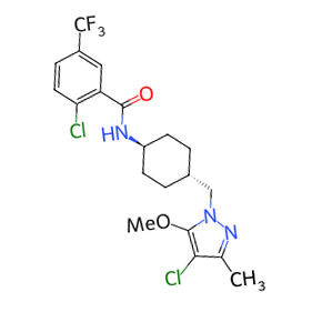 COc1c(Cl)c(C)nn1C[C@H]1CC[C@H](NC(=O)c2cc(C(F)(F)F)ccc2Cl)CC1